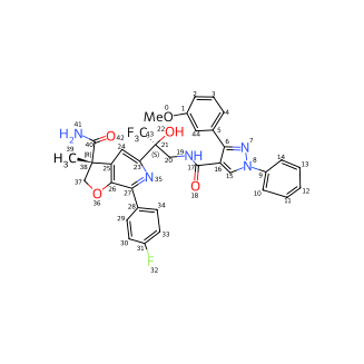 COc1cccc(-c2nn(-c3ccccc3)cc2C(=O)NC[C@](O)(c2cc3c(c(-c4ccc(F)cc4)n2)OC[C@]3(C)C(N)=O)C(F)(F)F)c1